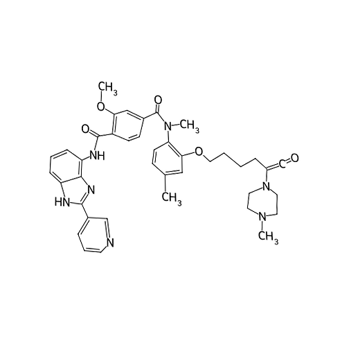 COc1cc(C(=O)N(C)c2ccc(C)cc2OCCCCC(=C=O)N2CCN(C)CC2)ccc1C(=O)Nc1cccc2[nH]c(-c3cccnc3)nc12